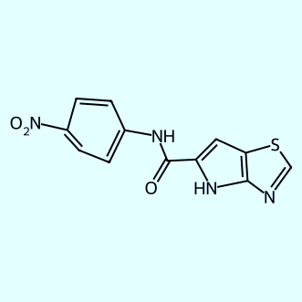 O=C(Nc1ccc([N+](=O)[O-])cc1)c1cc2scnc2[nH]1